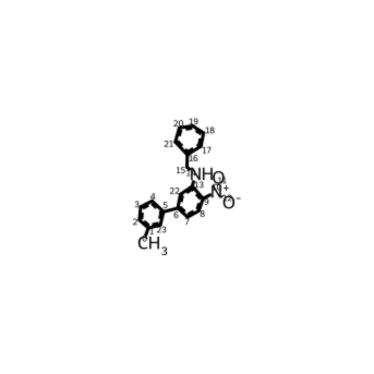 Cc1cccc(-c2ccc([N+](=O)[O-])c(NCc3ccccc3)c2)c1